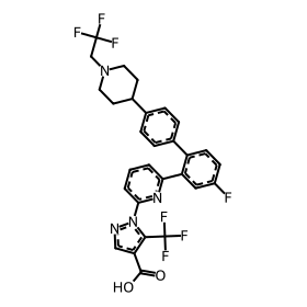 O=C(O)c1cnn(-c2cccc(-c3cc(F)ccc3-c3ccc(C4CCN(CC(F)(F)F)CC4)cc3)n2)c1C(F)(F)F